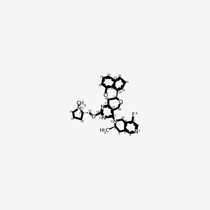 C[C@@H]1Cc2cncc(F)c2CN1c1nc(OC[C@@H]2CCCN2C)nc2c1CO[C@H](c1cccc3cccc(Cl)c13)C2